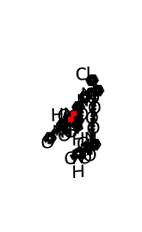 O=C1CCC(N2C(=O)c3cccc(NCCOCCOCCOCCOc4cccc(-c5ccc(Cl)cc5)c4CN4CCN(c5ccc(C(=O)NS(=O)(=O)c6ccc(NCC7CCOCC7)c([N+](=O)[O-])c6)c(Oc6cnc7[nH]ccc7c6)c5)CC4)c3C2=O)C(=O)N1